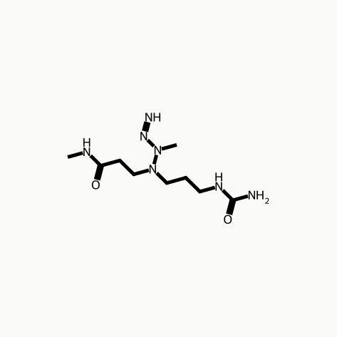 CNC(=O)CCN(CCCNC(N)=O)N(C)N=N